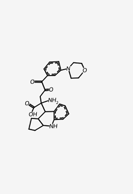 NC(CC(=O)C(=O)c1cccc(N2CCOCC2)c1)(C(=O)O)C1c2ccccc2NC2CCCC21